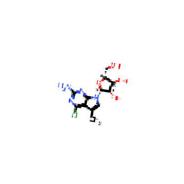 Cc1cn([C@@H]2O[C@H](CO)[C@@H](O)[C@@H]2O)c2nc(N)nc(Cl)c12